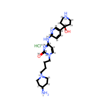 Cl.NC1CCN(CCCCn2ccc(Nc3ccc(C4(O)CCNCC4)cn3)nc2=O)CC1